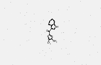 Nc1sc(C(=O)c2c[nH]c3ccccc23)nc1C(F)(F)F